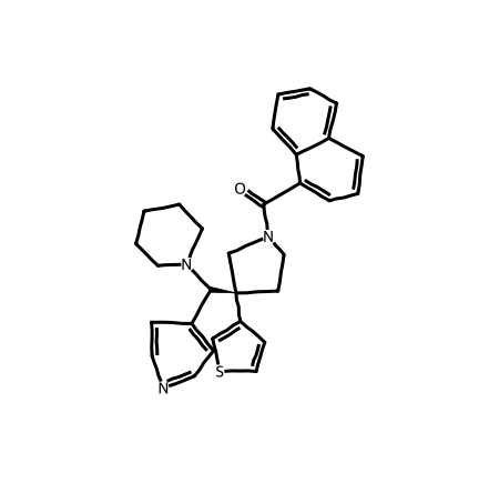 O=C(c1cccc2ccccc12)N1CC[C@@](c2ccsc2)(C(c2ccncc2)N2CCCCC2)C1